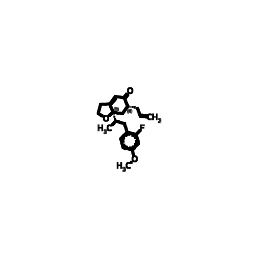 C=CC[C@@H]1C[C@@]2(C(C)Cc3ccc(OC)cc3F)OCCC2=CC1=O